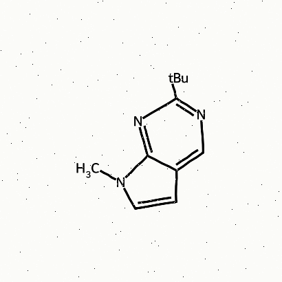 Cn1ccc2cnc(C(C)(C)C)nc21